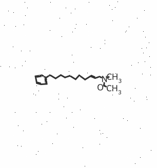 CC(=O)N(C)C/C=C/CCCCCCCCc1ccccc1